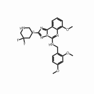 COc1ccc(CNc2nc3c(OC)cccc3c3nc([C@@H]4CNCC(F)(F)C4)nn23)c(OC)c1